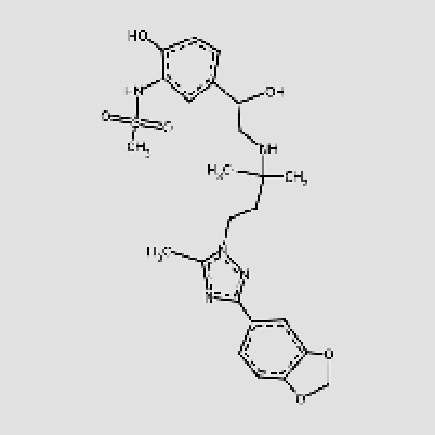 Cc1nc(-c2ccc3c(c2)OCO3)nn1CCC(C)(C)NCC(O)c1ccc(O)c(NS(C)(=O)=O)c1